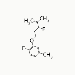 C=C(C)C(F)CCOc1cc(C)ccc1F